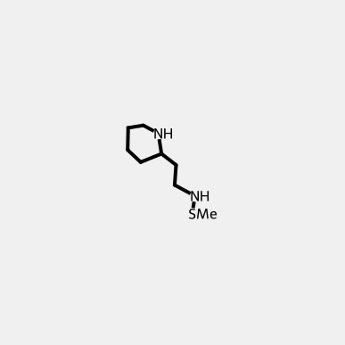 CSNCCC1CCCCN1